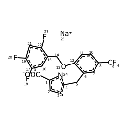 O=C([O-])c1csc(Cc2cc(C(F)(F)F)ccc2OCc2cc(F)c(F)cc2F)n1.[Na+]